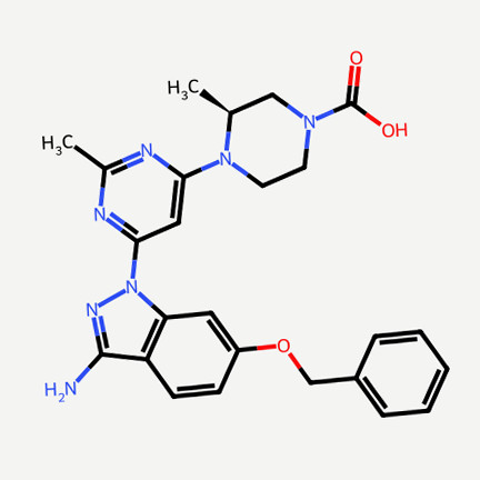 Cc1nc(N2CCN(C(=O)O)C[C@@H]2C)cc(-n2nc(N)c3ccc(OCc4ccccc4)cc32)n1